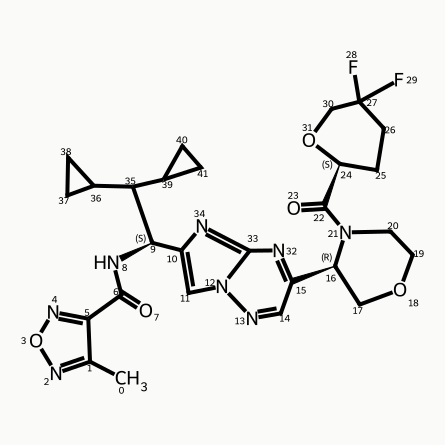 Cc1nonc1C(=O)N[C@H](c1cn2ncc([C@@H]3COCCN3C(=O)[C@@H]3CCC(F)(F)CO3)nc2n1)C(C1CC1)C1CC1